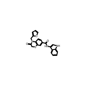 O=C(Nc1c[nH]c2ccccc12)c1ccc2c(c1)SCC(=O)N2Cc1ccco1